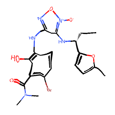 CC[C@@H](Nc1c(Nc2ccc(Br)c(C(=O)N(C)C)c2O)no[n+]1[O-])c1ccc(C)o1